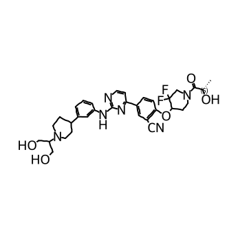 C[C@H](O)C(=O)N1CCC(Oc2ccc(-c3ccnc(Nc4cccc(C5CCN(C(CO)CO)CC5)c4)n3)cc2C#N)C(F)(F)C1